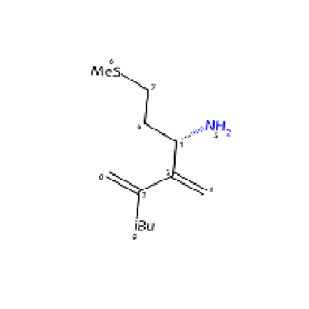 C=C(C(=C)[C@@H](N)CCSC)C(C)CC